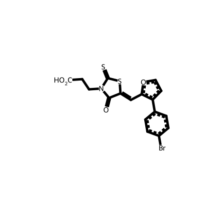 O=C(O)CCN1C(=O)C(=Cc2occc2-c2ccc(Br)cc2)SC1=S